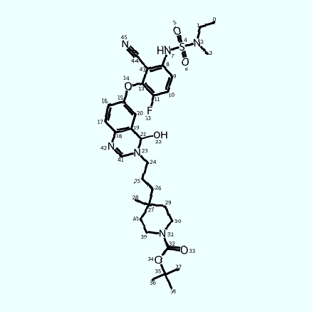 CCN(C)S(=O)(=O)Nc1ccc(F)c(Oc2ccc3c(c2)C(O)N(CCCC2(C)CCN(C(=O)OC(C)(C)C)CC2)C=N3)c1C#N